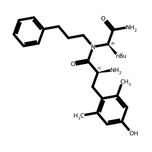 CCCC[C@H](C(N)=O)N(CCCc1ccccc1)C(=O)[C@@H](N)Cc1c(C)cc(O)cc1C